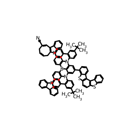 CC(C)(C)c1ccc(N2c3cc(-n4c5c(c6ccccc64)/C=C(/C#N)C/C=C\C5)ccc3B3c4ccc(-n5c6ccccc6c6ccccc65)cc4N(c4ccc(C(C)(C)C)cc4-c4ccccc4)c4cc(-c5cccc6c5sc5ccc7sc8ccccc8c7c56)cc2c43)c(-c2ccccc2)c1